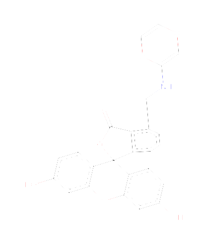 O=C1OC2(c3ccc(O)cc3Oc3cc(O)ccc32)c2cccc(CNC3=COC=CO3)c21